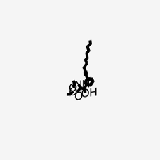 CCCCCCCCCC#Cc1cccc(C(O)C(NC(C)=O)C(=O)OCC)c1